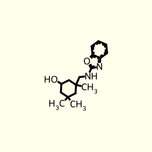 CC1(C)CC(O)CC(C)(CNc2nc3ccccc3o2)C1